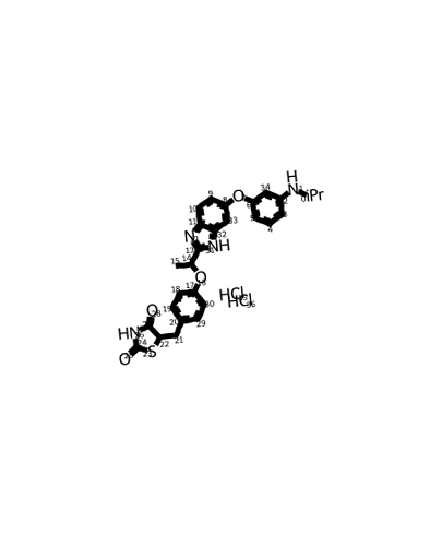 CC(C)Nc1cccc(Oc2ccc3nc(C(C)Oc4ccc(CC5SC(=O)NC5=O)cc4)[nH]c3c2)c1.Cl.Cl